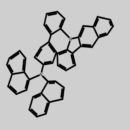 c1ccc(-n2c3ccccc3c3cc4ccccc4cc32)c(-c2ccc(N(c3cccc4ccccc34)c3cccc4ccccc34)cc2)c1